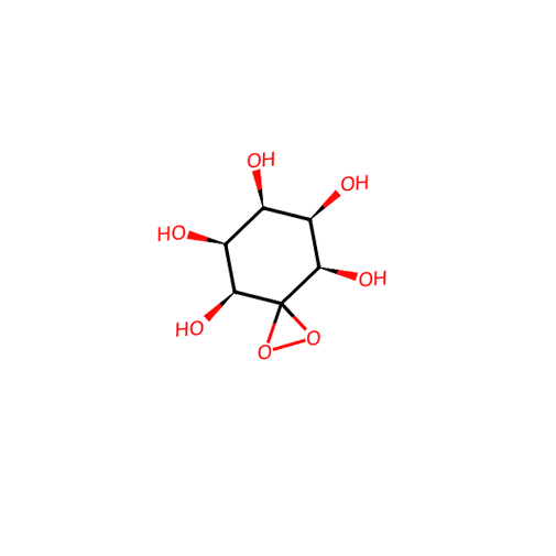 O[C@H]1[C@@H](O)[C@@H](O)C2(OO2)[C@@H](O)[C@H]1O